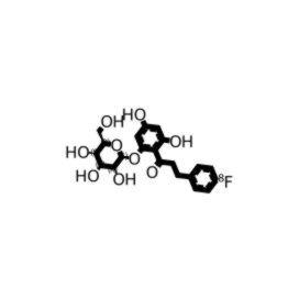 O=C(CCc1ccc([18F])cc1)c1c(O)cc(O)cc1O[C@@H]1O[C@H](CO)[C@@H](O)[C@H](O)[C@H]1O